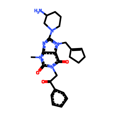 Cn1c(=O)n(CC(=O)c2ccccc2)c(=O)c2c1nc(N1CCCC(N)C1)n2CC1=CCCC1